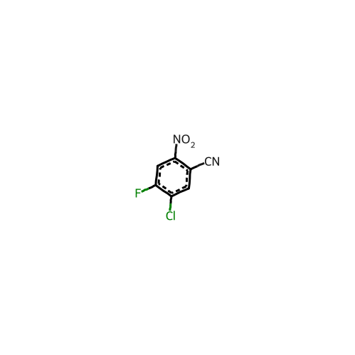 N#Cc1cc(Cl)c(F)cc1[N+](=O)[O-]